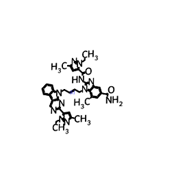 CCn1nc(C)cc1C(=O)Nc1nc2cc(C(N)=O)cc(C)c2n1C/C=C/Cn1c2ccccc2c2cnc(-c3cc(C)nn3CC)nc21